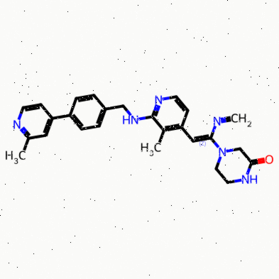 C=N/C(=C\c1ccnc(NCc2ccc(-c3ccnc(C)c3)cc2)c1C)N1CCNC(=O)C1